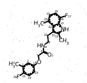 Cc1cc(OCC(=O)NCCc2c(C)[nH]c3c(F)ccc(C)c23)ccc1F